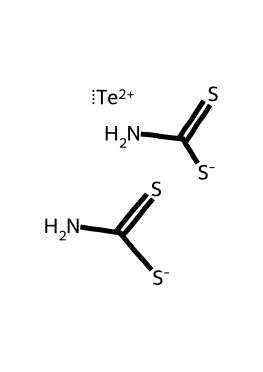 NC(=S)[S-].NC(=S)[S-].[Te+2]